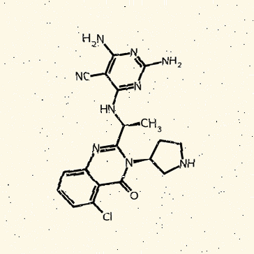 C[C@H](Nc1nc(N)nc(N)c1C#N)c1nc2cccc(Cl)c2c(=O)n1[C@H]1CCNC1